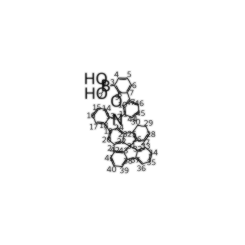 OB(O)c1cccc2c1oc1c(-n3c4ccccc4c4ccc5c(c43)C3=C(C=CCC3)C53c4ccccc4-c4ccccc43)cccc12